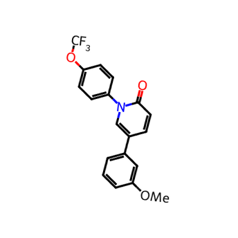 COc1cccc(-c2ccc(=O)n(-c3ccc(OC(F)(F)F)cc3)c2)c1